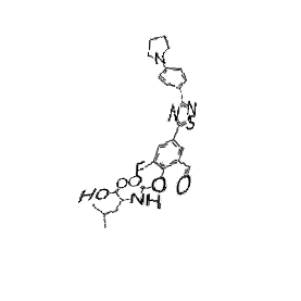 CC(C)CC(NC(=O)Oc1c(F)cc(-c2nc(-c3ccc(N4CCCC4)cc3)ns2)cc1C=O)C(=O)O